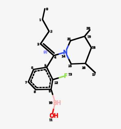 CCC/C=C(/c1cccc(BO)c1F)N1CC(C)CC(C)C1